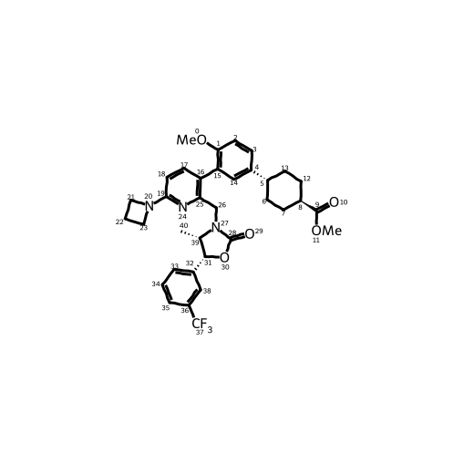 COc1ccc([C@H]2CC[C@H](C(=O)OC)CC2)cc1-c1ccc(N2CCC2)nc1CN1C(=O)O[C@H](c2cccc(C(F)(F)F)c2)[C@@H]1C